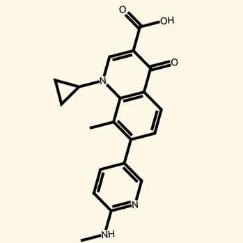 CNc1ccc(-c2ccc3c(=O)c(C(=O)O)cn(C4CC4)c3c2C)cn1